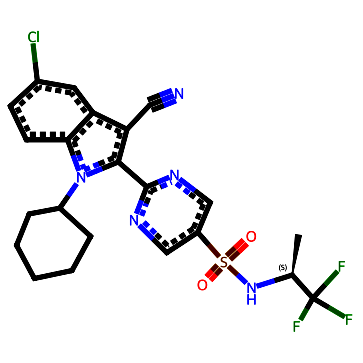 C[C@H](NS(=O)(=O)c1cnc(-c2c(C#N)c3cc(Cl)ccc3n2C2CCCCC2)nc1)C(F)(F)F